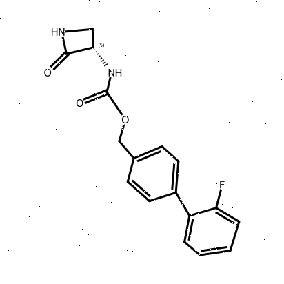 O=C(N[C@H]1CNC1=O)OCc1ccc(-c2ccccc2F)cc1